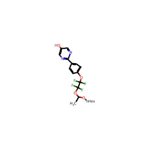 CCCCCCOC(C)OC(F)(F)C(F)(F)Oc1ccc(-c2ncc(O)cn2)cc1